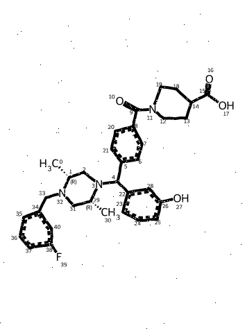 C[C@@H]1CN(C(c2ccc(C(=O)N3CCC(C(=O)O)CC3)cc2)c2cccc(O)c2)[C@H](C)CN1Cc1cccc(F)c1